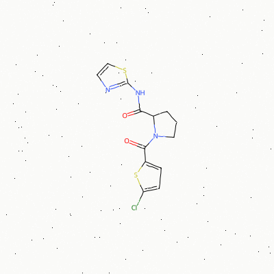 O=C(Nc1nccs1)C1CCCN1C(=O)c1ccc(Cl)s1